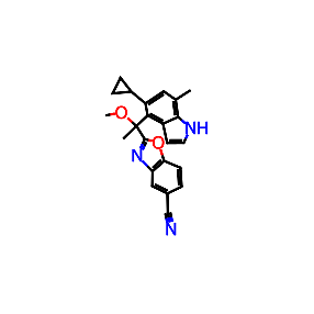 COC(C)(c1nc2cc(C#N)ccc2o1)c1c(C2CC2)cc(C)c2[nH]ccc12